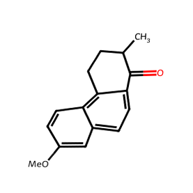 COc1ccc2c3c(ccc2c1)C(=O)C(C)CC3